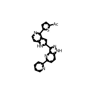 CC(=O)c1ccc(-c2nccc3[nH]c(-c4n[nH]c5ccc(-c6ccccn6)nc45)cc23)s1